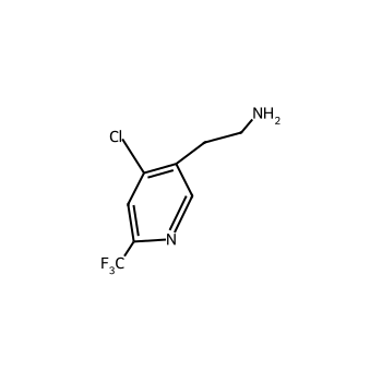 NCCc1cnc(C(F)(F)F)cc1Cl